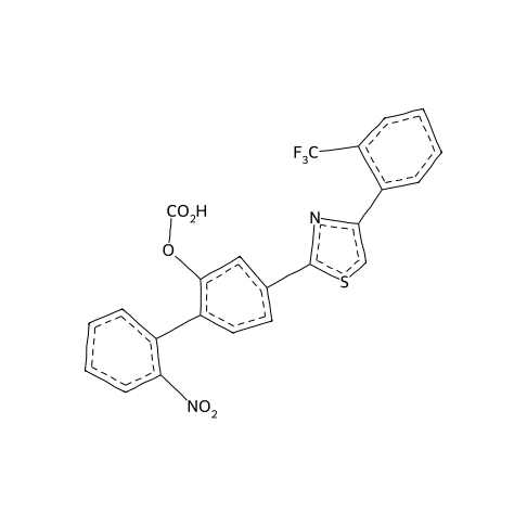 O=C(O)Oc1cc(-c2nc(-c3ccccc3C(F)(F)F)cs2)ccc1-c1ccccc1[N+](=O)[O-]